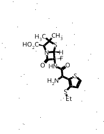 CCSc1ccsc1C(N)C(=O)N[C@@]1(F)C(=O)N2[C@@H](C(=O)O)C(C)(C)S[C@@H]21